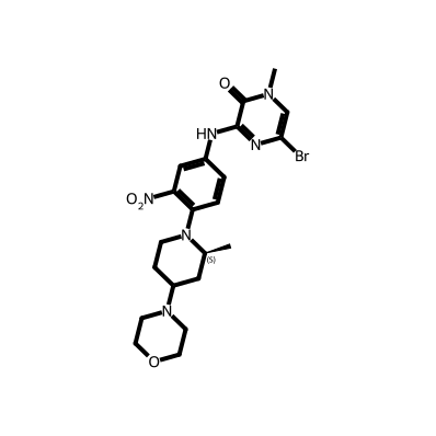 C[C@H]1CC(N2CCOCC2)CCN1c1ccc(Nc2nc(Br)cn(C)c2=O)cc1[N+](=O)[O-]